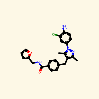 Cc1nn(-c2ccc(N)c(Cl)c2)c(C)c1Cc1ccc(C(=O)NCc2ccco2)cc1